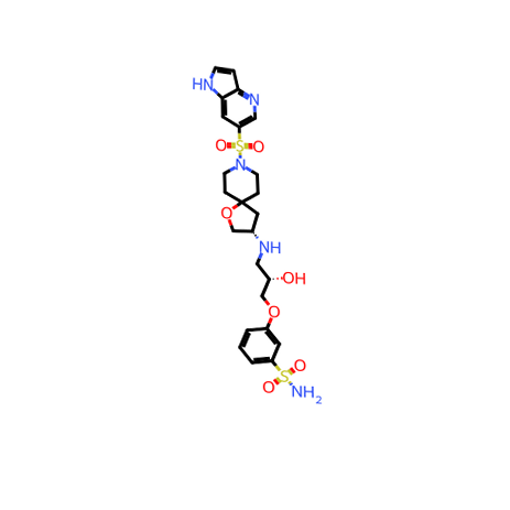 NS(=O)(=O)c1cccc(OC[C@@H](O)CN[C@@H]2COC3(CCN(S(=O)(=O)c4cnc5cc[nH]c5c4)CC3)C2)c1